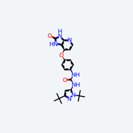 CC(C)(C)c1cc(NC(=O)Nc2ccc(Oc3ccnc4[nH]c(=O)[nH]c34)cc2)n(C(C)(C)C)n1